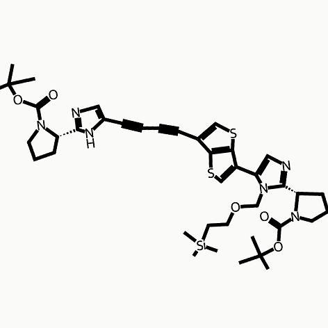 CC(C)(C)OC(=O)N1CCC[C@H]1c1ncc(C#CC#Cc2csc3c(-c4cnc([C@@H]5CCCN5C(=O)OC(C)(C)C)n4COCC[Si](C)(C)C)csc23)[nH]1